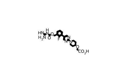 N=C(N)NC(=O)OCc1cccc(-c2cnc(N3CCC(OCC(=O)O)CC3)nc2)c1F